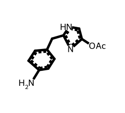 CC(=O)Oc1c[nH]c(Cc2ccc(N)cc2)n1